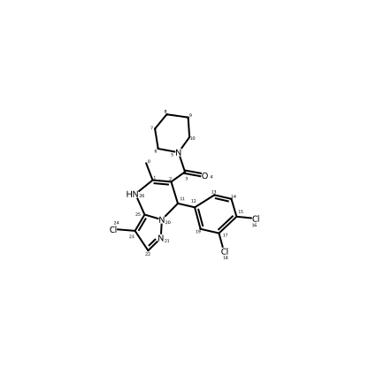 CC1=C(C(=O)N2CCCCC2)C(c2ccc(Cl)c(Cl)c2)n2ncc(Cl)c2N1